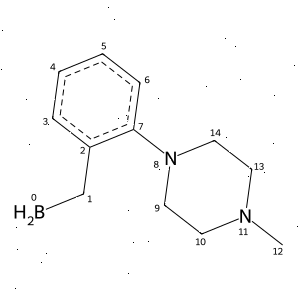 BCc1ccccc1N1CCN(C)CC1